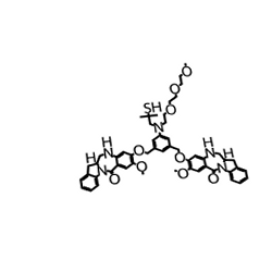 COCCOCCOCCN(CC(C)(C)S)c1cc(COc2cc3c(cc2OC)C(=O)N2c4ccccc4C[C@H]2CN3)cc(COc2cc3c(cc2OC)C(=O)N2c4ccccc4C[C@@H]2CN3)c1